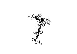 CC(=O)SCCNC(=O)CCNC(=O)[C@@H]1OC(CC(C)O)OCC1(C)C